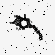 C[C@@H](O)[C@@H]1NC(=O)[C@@H](NC[C@H]2CC[C@H](c3nnc(-c4ccc(-c5cnc(N6CCC(OC7CCCCC7)CC6)nc5)cc4)s3)CC2)C[C@@H](O)CNC(=O)[C@@H]2[C@@H](O)[C@@H](C)CN2C(=O)[C@H]([C@H](O)CC(N)=O)NC(=O)[C@H]([C@H](O)Cc2ccc(O)c(OCCNCCO)c2)NC(=O)[C@@H]2C[C@@H](O)CN2C1=O